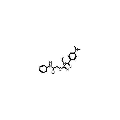 CCn1c(SCC(=O)NC2C=CC=CC2)nnc1-c1ccc(N(C)C)cc1